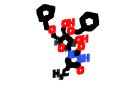 Cc1cn([C@@H]2O[C@H](COCc3ccccc3)[C@@](CO)(OCc3ccccc3)[C@@H]2O)c(=O)[nH]c1=O